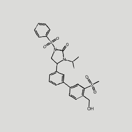 CC(C)N1C(=O)N(S(=O)(=O)c2ccccc2)CC1c1cccc(-c2ccc(CO)c(S(C)(=O)=O)c2)c1